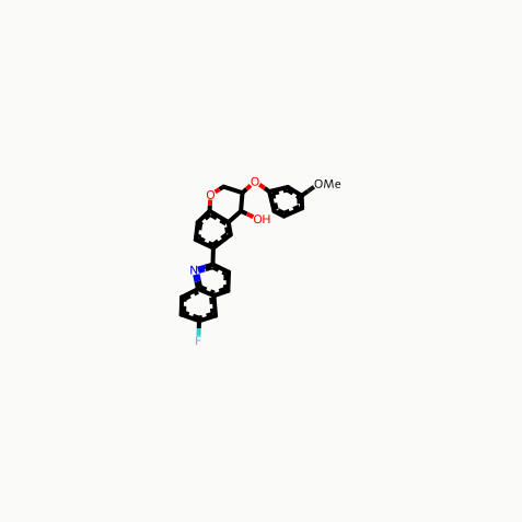 COc1cccc(OC2COc3ccc(-c4ccc5cc(F)ccc5n4)cc3C2O)c1